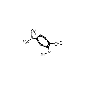 CCOc1cc(N(C)C)ccc1C=O